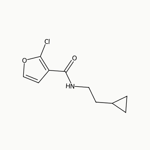 O=C(NCCC1CC1)c1ccoc1Cl